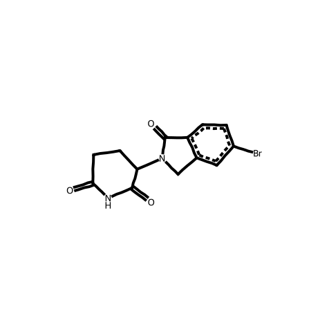 O=C1CCC(N2Cc3cc(Br)ccc3C2=O)C(=O)N1